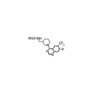 CSNCC1CCCN(c2ncnc3cc(F)c(C(F)(F)F)cc23)C1